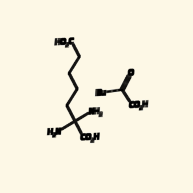 CCC(C)C(=O)C(=O)O.NC(N)(CCCCC(=O)O)C(=O)O